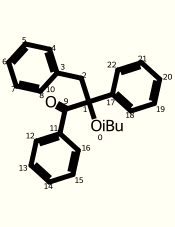 CC(C)COC(Cc1ccccc1)(C(=O)c1ccccc1)c1ccccc1